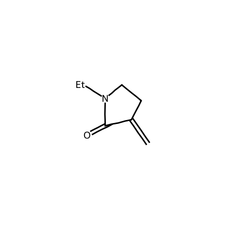 C=C1CCN(CC)C1=O